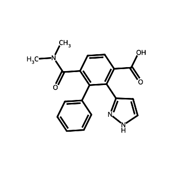 CN(C)C(=O)c1ccc(C(=O)O)c(-c2cc[nH]n2)c1-c1ccccc1